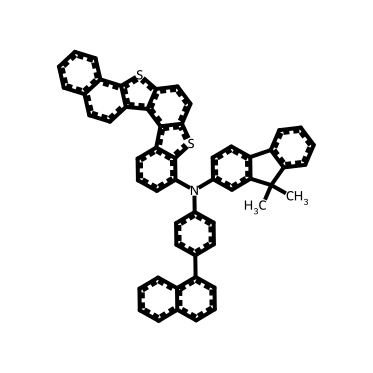 CC1(C)c2ccccc2-c2ccc(N(c3ccc(-c4cccc5ccccc45)cc3)c3cccc4c3sc3ccc5sc6c7ccccc7ccc6c5c34)cc21